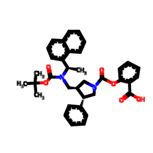 C[C@H](c1cccc2ccccc12)N(C[C@H]1CN(C(=O)Oc2ccccc2C(=O)O)C[C@@H]1c1ccccc1)C(=O)OC(C)(C)C